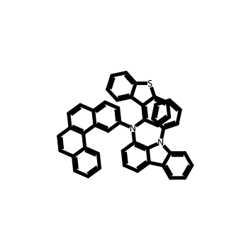 c1ccc(-n2c3ccccc3c3cccc(N(c4ccc5ccc6ccc7ccccc7c6c5c4)c4cccc5sc6ccccc6c45)c32)cc1